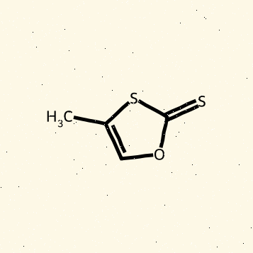 Cc1coc(=S)s1